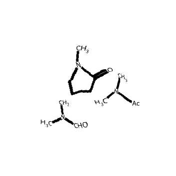 CC(=O)N(C)C.CN(C)C=O.CN1CCCC1=O